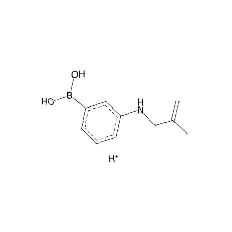 C=C(C)CNc1cccc(B(O)O)c1.[H+]